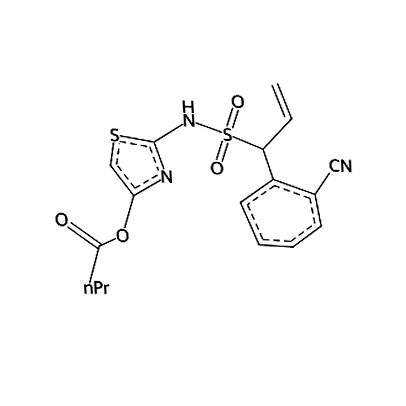 C=CC(c1ccccc1C#N)S(=O)(=O)Nc1nc(OC(=O)CCC)cs1